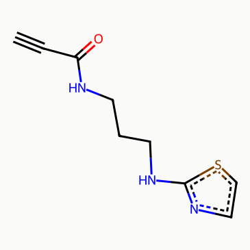 C#CC(=O)NCCCNc1nccs1